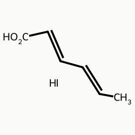 CC=CC=CC(=O)O.I